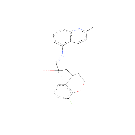 Cc1ccc2c(/N=C/C(O)(CC3CCOc4c(F)cccc43)C(F)(F)F)cccc2n1